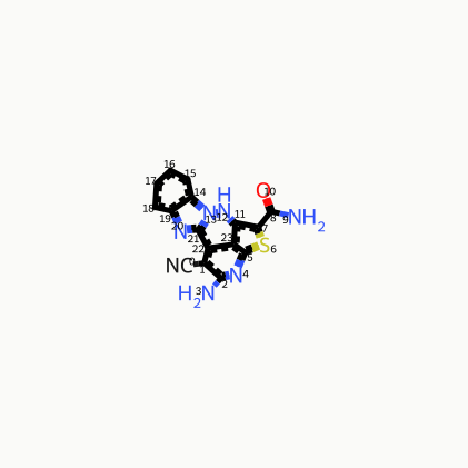 N#Cc1c(N)nc2sc(C(N)=O)c3[nH]n4c5ccccc5nc4c1c23